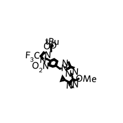 COc1ncnc(C2CC2)c1-c1ncc2cnn(Cc3ccc(-c4nc(C(F)(F)F)cn4CC(=O)OC(C)(C)C)c([N+](=O)[O-])c3)c2n1